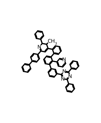 CC1C(c2ccccc2-c2cccc(-c3cccc(-c4nc(-c5ccccc5)nc(-c5ccccc5)n4)c3)c2-c2cccnc2)=CC(c2ccc(-c3ccccc3)cc2)=NC1c1ccccc1